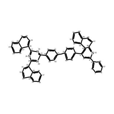 c1ccc(-c2cc(-c3ccc(-c4ccc(-c5nc(-c6cccc7ccccc67)nc(-c6cccc7ccccc67)n5)cc4)cc3)c3c(ccc4ccccc43)n2)cc1